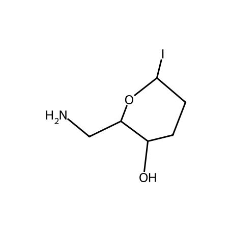 NCC1OC(I)CCC1O